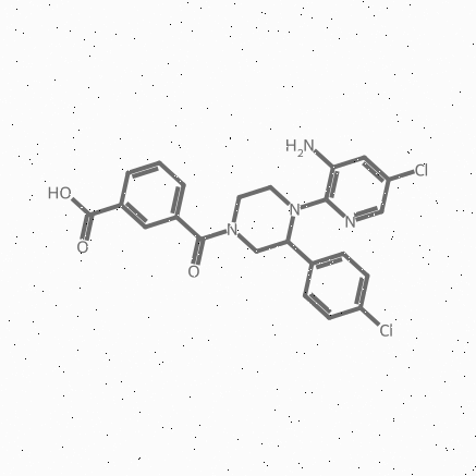 Nc1cc(Cl)cnc1N1CCN(C(=O)c2cccc(C(=O)O)c2)CC1c1ccc(Cl)cc1